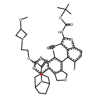 COC1CN(CCOc2nc(N3C4CCC3CN(C(=O)O)C4)c3c4c(c(-c5c(F)ccc6sc(NC(=O)OC(C)(C)C)c(C#N)c56)c(F)c3n2)COC4)C1